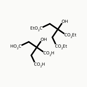 CCOC(=O)CC(O)(CC(=O)OCC)C(=O)OCC.O=C(O)CC(O)(CC(=O)O)C(=O)O